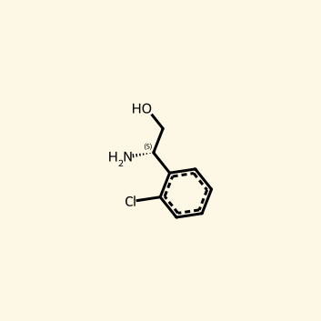 N[C@H](CO)c1ccccc1Cl